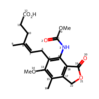 COC(=O)Nc1c(CC=C(C)CCC(=O)O)c(OC)c(C)c2c1C(=O)OC2